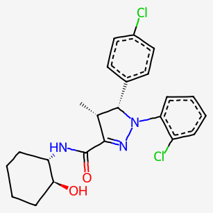 C[C@H]1C(C(=O)N[C@H]2CCCC[C@@H]2O)=NN(c2ccccc2Cl)[C@H]1c1ccc(Cl)cc1